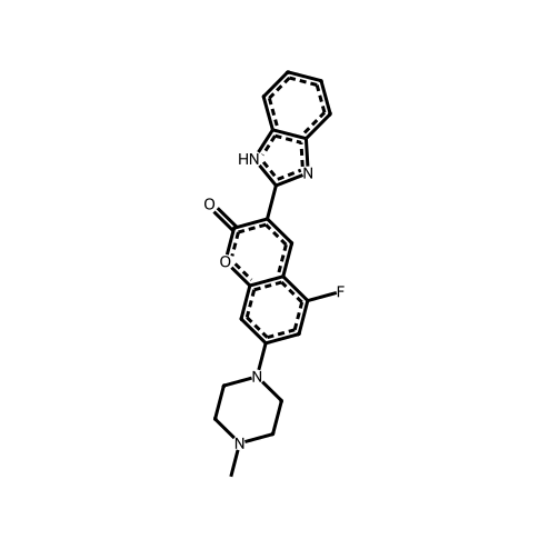 CN1CCN(c2cc(F)c3cc(-c4nc5ccccc5[nH]4)c(=O)oc3c2)CC1